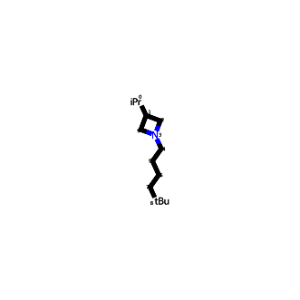 CC(C)C1CN(CCCCC(C)(C)C)C1